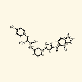 N[C@@H](Cc1ccc(O)cc1)C(=O)Nc1cccc(-c2nnc(Nc3ccc4[nH]ncc4c3Cl)s2)c1